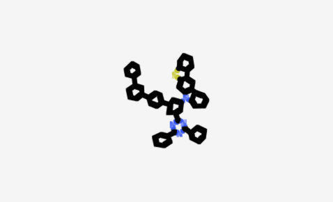 c1ccc(-c2cccc(-c3ccc(-c4cc(-c5nc(-c6ccccc6)nc(-c6ccccc6)n5)cc(-n5c6ccccc6c6cc7c(cc65)sc5ccccc57)c4)cc3)c2)cc1